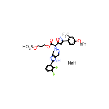 CCCOc1ccc(-c2cc(C(C(=O)OCCCOS(=O)(=O)O)N3Cc4nc(-c5cccc(F)c5F)[nH]c4C=N3)on2)c(C(F)(F)F)c1.[NaH]